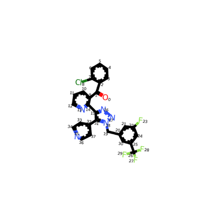 O=C(c1ccccc1Cl)c1cccnc1-c1nnn(Cc2cc(F)cc(C(F)(F)F)c2)c1-c1ccncc1